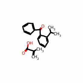 C=C(C)C(=O)O.CC(C)c1ccccc1C(=O)c1ccccc1